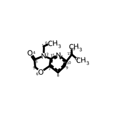 CCN1C(=O)COc2ccc(C(C)C)nc21